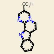 O=C(O)c1cnc2c3nc4ccccc4c-3ccn2c1